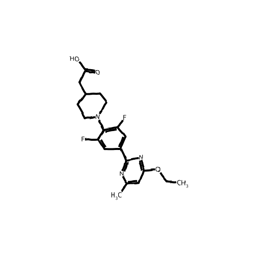 CCOc1cc(C)nc(-c2cc(F)c(N3CCC(CC(=O)O)CC3)c(F)c2)n1